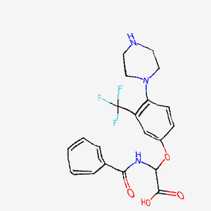 O=C(NC(Oc1ccc(N2CCNCC2)c(C(F)(F)F)c1)C(=O)O)c1ccccc1